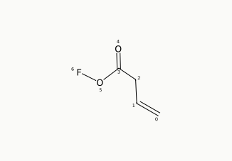 C=CCC(=O)OF